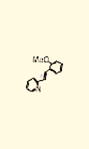 COc1ccccc1/C=C/c1ccccn1